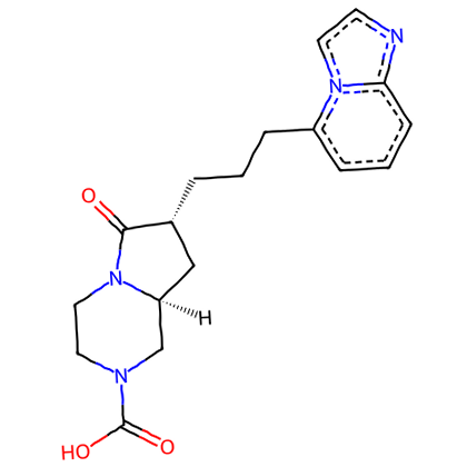 O=C(O)N1CCN2C(=O)[C@H](CCCc3cccc4nccn34)C[C@H]2C1